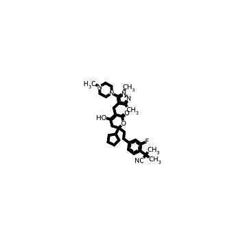 Cc1nn(C)c(N2CCN(C)CC2)c1CC1=C(O)CC(CCc2ccc(C(C)(C)C#N)c(F)c2)(C2CCCC2)OC1=O